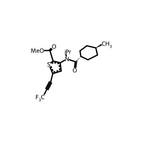 COC(=O)c1sc(C#CC(F)(F)F)cc1N(C(=O)[C@H]1CC[C@H](C)CC1)C(C)C